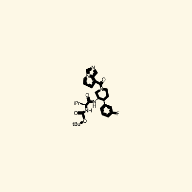 CC(C)[C@H](NC(=O)OC(C)(C)C)C(=O)N[C@@H]1CN(C(=O)c2cccn3cncc23)CC[C@H]1c1cccc(F)c1